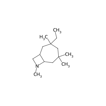 CCC1(C)CC2CN(C)C2CC(C)(C)C1